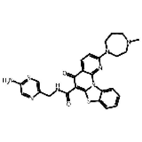 CN1CCCN(c2ccc3c(=O)c(C(=O)NCc4cnc(N)cn4)c4sc5ccccc5n4c3n2)CC1